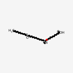 CCCCCCCCCCCCOC(=O)CCCCCCCCCCCCCN1CCN=C1CCCCCCCCCCCCC(=O)O